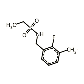 [CH2]c1cccc(CNS(=O)(=O)CC)c1F